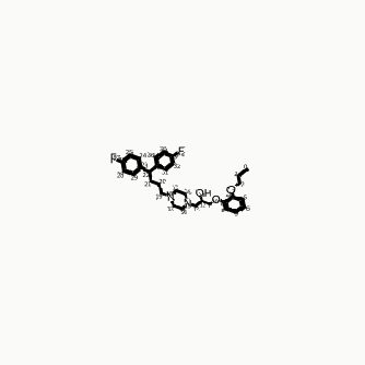 C=CCOc1ccccc1OCC(O)CN1CCN(CCCC(c2ccc(F)cc2)c2ccc(F)cc2)CC1